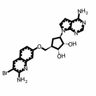 Nc1nc2cc(OC[C@H]3C[C@@H](n4ccc5c(N)ncnc54)[C@H](O)[C@@H]3O)ccc2cc1Br